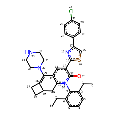 CCc1cccc(CC)c1-n1c2c(cc(-c3nc(-c4ccc(Cl)cc4)cs3)c1=O)C(N1CCNCC1)=C1CCC1C2